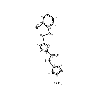 Cc1csc(NC(=O)c2ccc(COc3ccccc3C#N)o2)n1